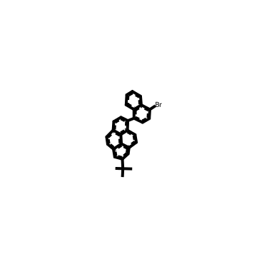 CC(C)(C)c1cc2ccc3ccc(-c4ccc(Br)c5ccccc45)c4ccc(c1)c2c34